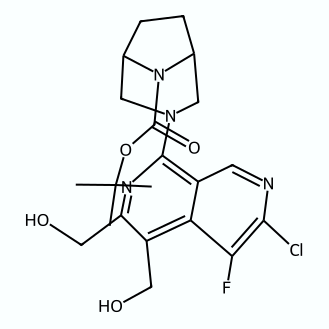 CC(C)(C)OC(=O)N1C2CCC1CN(c1nc(CO)c(CO)c3c(F)c(Cl)ncc13)C2